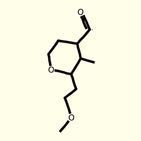 COCCC1OCCC([C]=O)C1C